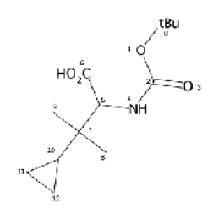 CC(C)(C)OC(=O)NC(C(=O)O)C(C)(C)C1CC1